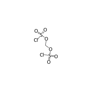 O=S(=O)(Cl)OCOS(=O)(=O)Cl